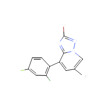 Cc1cc(-c2ccc(F)cc2Cl)c2nc(Br)nn2c1